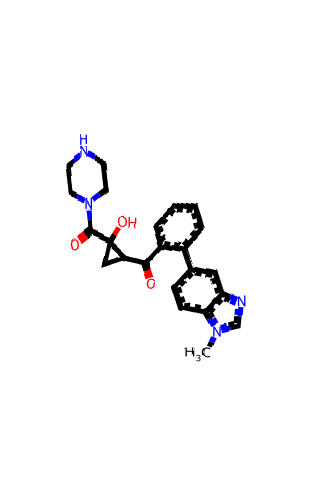 Cn1cnc2cc(-c3ccccc3C(=O)C3CC3(O)C(=O)N3CCNCC3)ccc21